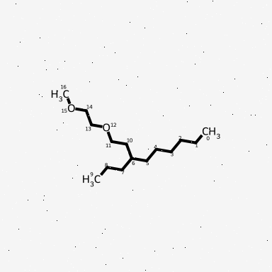 CCCCCCC(CCC)CCOCCOC